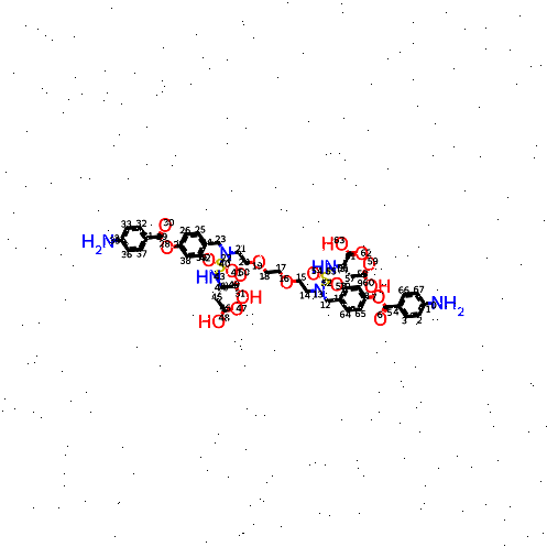 Nc1ccc(C(=O)Oc2ccc(CN(CCOCCOCCN(Cc3ccc(OC(=O)c4ccc(N)cc4)cc3)S(=O)(=O)N[C@@H](CC(=O)O)C(=O)O)S(=O)(=O)N[C@@H](CC(=O)O)C(=O)O)cc2)cc1